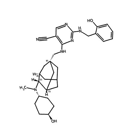 CN([C@H]1CC[C@H](O)CC1)[C@@H]1[C@@H]2CC3C[C@H]1C[C@](CNc1nc(NCc4ccccc4O)ncc1C#N)(C3)C2